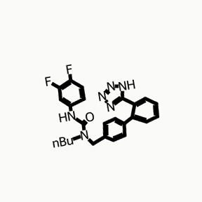 CCCCN(Cc1ccc(-c2ccccc2-c2nnn[nH]2)cc1)C(=O)Nc1ccc(F)c(F)c1